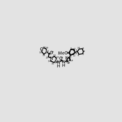 COc1ccc(C2CCCCC2)cc1-c1csc(NC(=O)NN2CCN(CC(=O)N3CCOCC3)CC2)n1